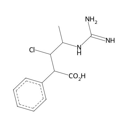 CC(NC(=N)N)C(Cl)C(C(=O)O)c1ccccc1